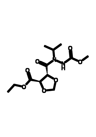 CCOC(=O)[C@@H]1OCO[C@H]1C(=O)N(NC(=O)OC)C(C)C